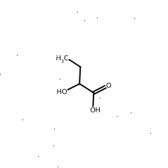 CC[C](O)C(=O)O